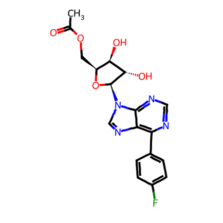 CC(=O)OC[C@@H]1O[C@H](n2cnc3c(-c4ccc(F)cc4)ncnc32)[C@@H](O)[C@@H]1O